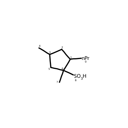 CCCC1CC(C)CC1(C)S(=O)(=O)O